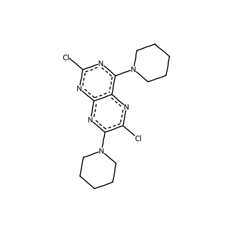 Clc1nc(N2CCCCC2)c2nc(Cl)c(N3CCCCC3)nc2n1